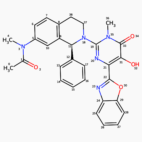 CC(=O)N(C)c1ccc2c(c1)[C@H](c1ccccc1)N(c1nc(-c3nc4ccccc4o3)c(O)c(=O)n1C)CC2